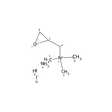 C[N+](C)(C)CC1CO1.I.N.[I-]